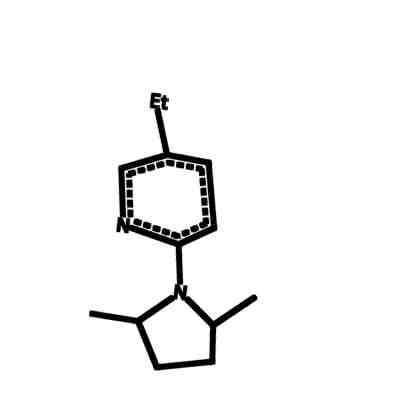 CCc1ccc(N2C(C)CCC2C)nc1